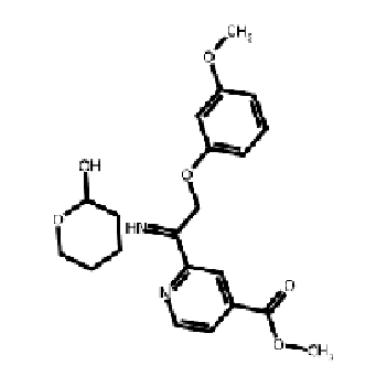 COC(=O)c1ccnc(C(=N)COc2cccc(OC)c2)c1.OC1CCCCO1